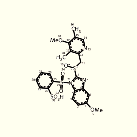 COc1ccc2c(c1)nc([S+]([O-])Cc1ncc(C)c(OC)c1C)n2S(=O)(=O)c1ccccc1S(=O)(=O)O